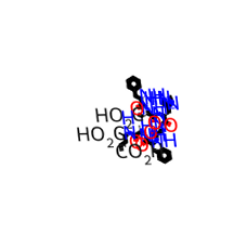 C[C@H](NC(=O)[C@H](Cc1ccccc1)NC(=O)CNC(=O)[C@H](Cc1c[nH]cn1)NC(=O)[C@H](CC(=O)O)NC(=O)[C@@H](N)Cc1ccccc1)C(=O)N[C@@H](CCC(=O)O)C(=O)O